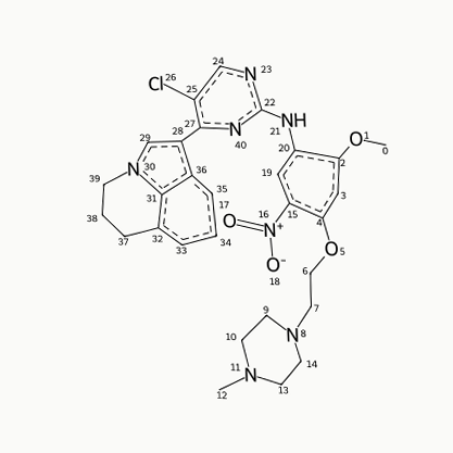 COc1cc(OCCN2CCN(C)CC2)c([N+](=O)[O-])cc1Nc1ncc(Cl)c(-c2cn3c4c(cccc24)CCC3)n1